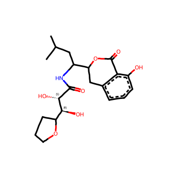 CC(C)CC(NC(=O)[C@@H](O)[C@@H](O)C1CCCO1)C1Cc2cccc(O)c2C(=O)O1